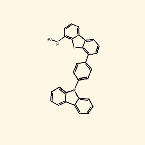 OBc1cccc2c1oc1c(-c3ccc(-n4c5ccccc5c5ccccc54)cc3)cccc12